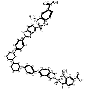 COc1cc(C(=O)O)ccc1NS(=O)(=O)c1ccc2sc(-c3ccc(C4CCCC(C5CCCC(c6ccc(-c7ccc8c(c7)CN(S(=O)(=O)Nc7ccc(C(=O)O)cc7OC)C8)cc6)C5)C4)cc3)nc2c1